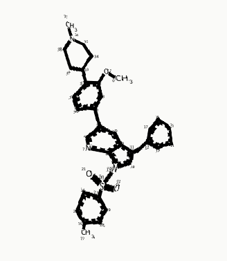 COc1cc(-c2cnc3c(c2)c(-c2cc[c]cc2)cn3S(=O)(=O)c2ccc(C)cc2)ccc1C1CCN(C)CC1